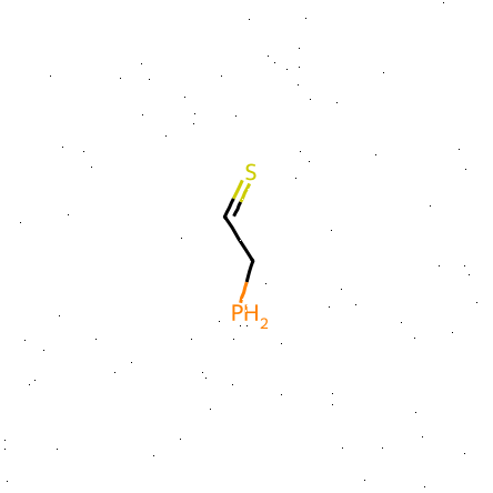 PCC=S